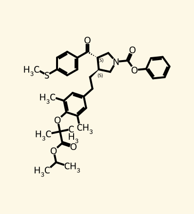 CSc1ccc(C(=O)[C@@H]2CN(C(=O)Oc3ccccc3)C[C@H]2CCc2cc(C)c(OC(C)(C)C(=O)OC(C)C)c(C)c2)cc1